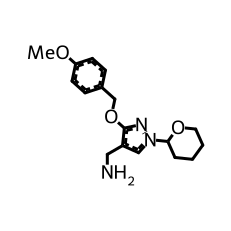 COc1ccc(COc2nn(C3CCCCO3)cc2CN)cc1